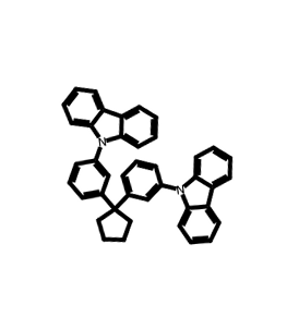 c1cc(-n2c3ccccc3c3ccccc32)cc(C2(c3cccc(-n4c5ccccc5c5ccccc54)c3)CCCC2)c1